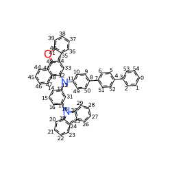 c1ccc(-c2ccc(-c3ccc(N(c4cccc(-n5c6ccccc6c6ccccc65)c4)c4cc5c6ccccc6oc5c5ccccc45)cc3)cc2)cc1